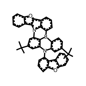 CC(C)(C)c1ccc2c(c1)N(c1cccc3oc4ccccc4c13)c1cc(C(C)(C)C)cc3c1B2c1cccc2c4oc5ccccc5c4n-3c12